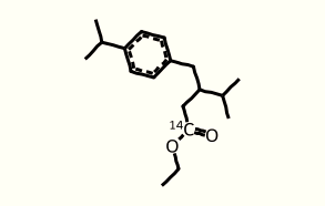 CCO[14C](=O)CC(Cc1ccc(C(C)C)cc1)C(C)C